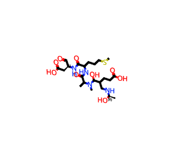 CSCCCC(NC(=O)C(C)N(C)C(O)C(CCC(=O)O)CN[C@@H](C)O)C(=O)N[C@H](C=O)CC(=O)O